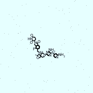 C[C@@H]1OCC2(CCN(c3cnc(Sc4ccnc(N)c4)c(N)n3)CC2)[C@@H]1NCc1ccc2c(c1F)CN(C1CCC(=O)NC1=O)C2=O